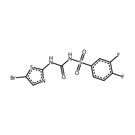 O=C(Nc1ncc(Br)s1)NS(=O)(=O)c1ccc(F)c(F)c1